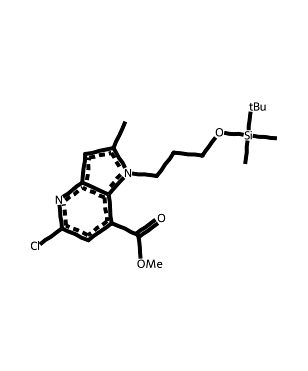 COC(=O)c1cc(Cl)nc2cc(C)n(CCCO[Si](C)(C)C(C)(C)C)c12